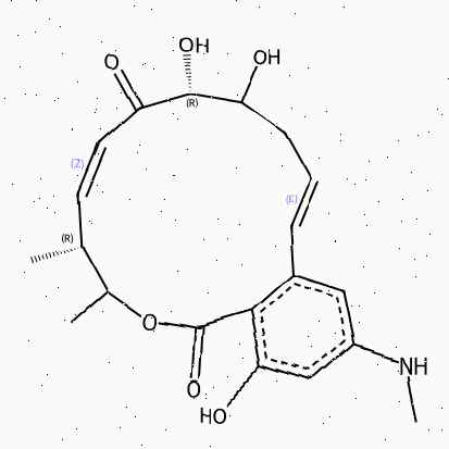 CNc1cc(O)c2c(c1)/C=C/CC(O)[C@@H](O)C(=O)/C=C\[C@@H](C)C(C)OC2=O